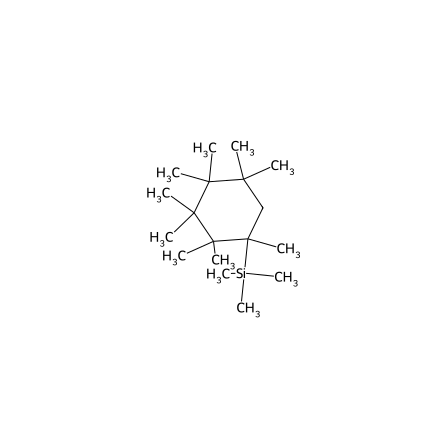 CC1(C)CC(C)([Si](C)(C)C)C(C)(C)C(C)(C)C1(C)C